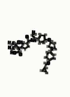 CC(NC(=O)C1CCC(N(C(=O)O)C(C)(C)C)C1)c1ccc(OC2CCN(c3ccc(OCC4CC4)cc3)C2)cc1